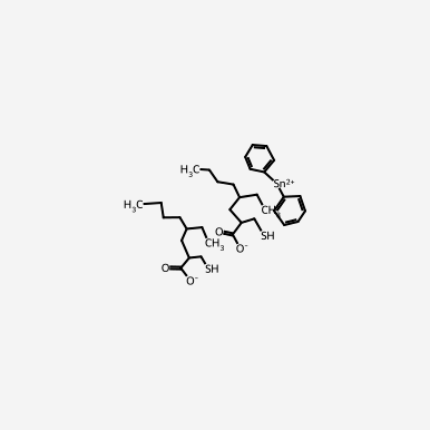 CCCCC(CC)CC(CS)C(=O)[O-].CCCCC(CC)CC(CS)C(=O)[O-].c1cc[c]([Sn+2][c]2ccccc2)cc1